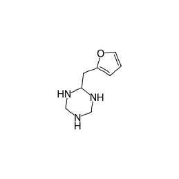 c1coc(CC2NCNCN2)c1